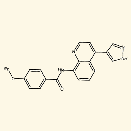 CC(C)Oc1ccc(C(=O)Nc2cccc3c(-c4cn[nH]c4)ccnc23)cc1